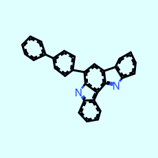 c1ccc(-c2ccc(-c3cc4c(c5c3N=c3ccccc3=5)=Nc3ccccc3-4)cc2)cc1